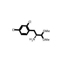 COC(OC)[C@@H](N)Cc1ccc(Cl)cc1Cl